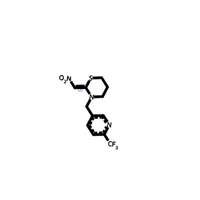 O=[N+]([O-])/C=C1\SCCCN1Cc1ccc(C(F)(F)F)nc1